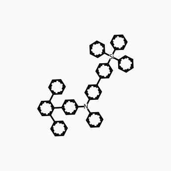 c1ccc(-c2cccc(-c3ccccc3)c2-c2ccc(N(c3ccccc3)c3ccc(-c4ccc([Si](c5ccccc5)(c5ccccc5)c5ccccc5)cc4)cc3)cc2)cc1